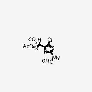 CC(=O)ON=C(C(=O)O)c1nc(NC=O)sc1Cl